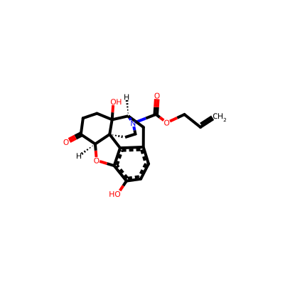 C=CCOC(=O)N1CC[C@]23c4c5ccc(O)c4O[C@H]2C(=O)CCC3(O)[C@H]1C5